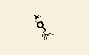 CC(=O)Oc1ccc(CS[PH](=O)O)cc1